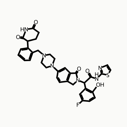 O=C1CCC(c2ccccc2CN2CCN(c3ccc4c(c3)C(=O)N(C(C(=O)Nc3nccs3)c3cc(F)ccc3O)C4)CC2)C(=O)N1